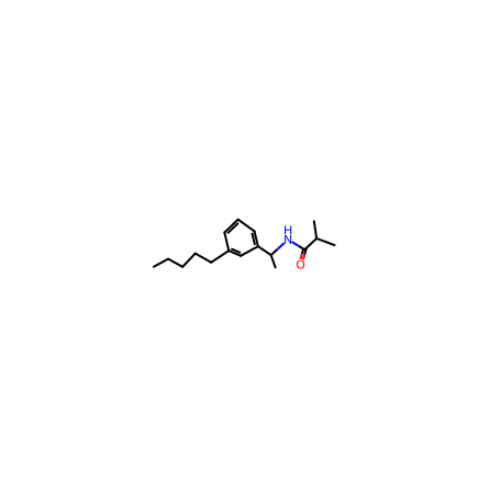 CCCCCc1cccc(C(C)NC(=O)C(C)C)c1